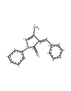 CC1=NN(c2ccccc2)C(=O)C1=Cc1ccccc1